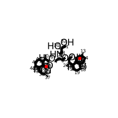 C[C@H]1[C@@H](OCC(CO[C@H]2O[C@@H]3O[C@@]4(C)CC[C@H]5[C@H](C)CC[C@@H]([C@H]2C)[C@@]35OO4)NCC(O)CO)OC2O[C@@]3(C)CC[C@H]4[C@H](C)CC[C@@H]1[C@@]24OO3